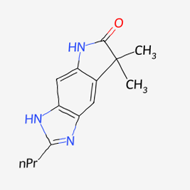 CCCc1nc2cc3c(cc2[nH]1)NC(=O)C3(C)C